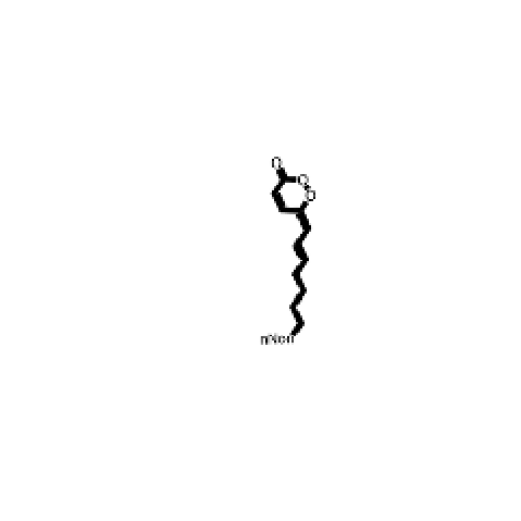 CCCCCCCCCCCCCC=CC=C1C=CC(=O)OO1